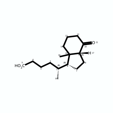 C[C@H](CCCC(=O)O)[C@H]1CC[C@H]2C(=O)CCCC12C